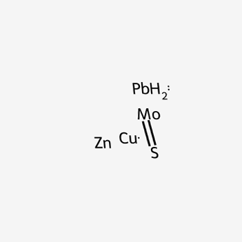 [Cu].[PbH2].[S]=[Mo].[Zn]